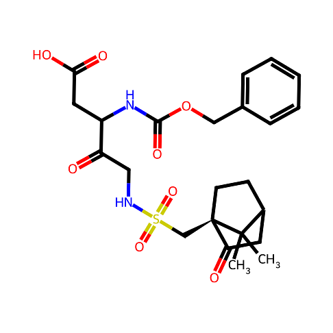 CC1(C)C2CC[C@@]1(CS(=O)(=O)NCC(=O)C(CC(=O)O)NC(=O)OCc1ccccc1)C(=O)C2